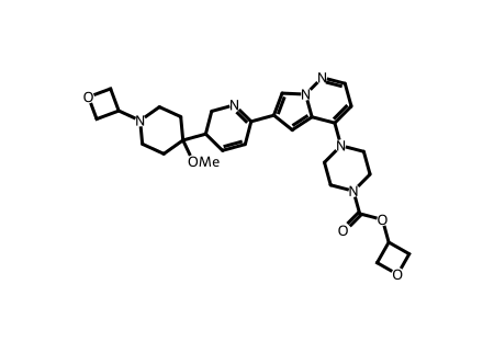 COC1(C2C=CC(c3cc4c(N5CCN(C(=O)OC6COC6)CC5)ccnn4c3)=NC2)CCN(C2COC2)CC1